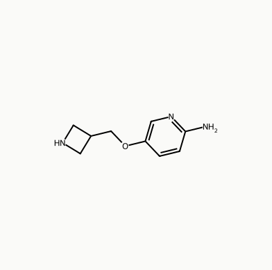 Nc1ccc(OCC2CNC2)cn1